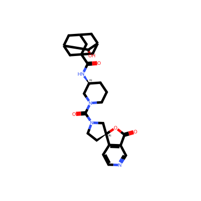 O=C1O[C@]2(CCN(C(=O)N3CCC[C@H](NC(=O)C45CC6CC(C4)C(O)C(C6)C5)C3)C2)c2ccncc21